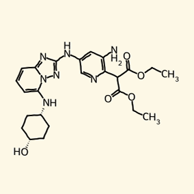 CCOC(=O)C(C(=O)OCC)c1ncc(Nc2nc3cccc(N[C@H]4CC[C@@H](O)CC4)n3n2)cc1N